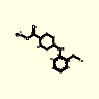 CC(C)(C)OC(=O)N1CCC(Nc2ccccc2CI)CC1